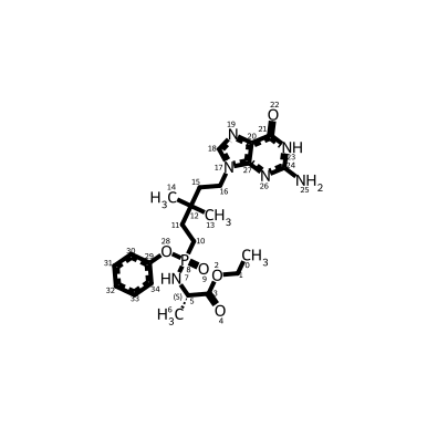 CCOC(=O)[C@H](C)NP(=O)(CCC(C)(C)CCn1cnc2c(=O)[nH]c(N)nc21)Oc1ccccc1